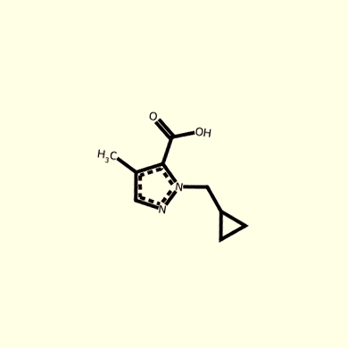 Cc1cnn(CC2CC2)c1C(=O)O